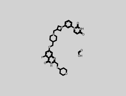 O=CO.O=c1ccn(-c2cccc(N3CC(CN4CCC(COc5cc(F)c6c(=O)[nH]c(CSC7CCOCC7)nc6c5)CC4)C3)c2)c(=O)[nH]1